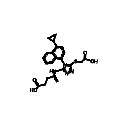 C=C(CCC(=O)O)Nc1nnc(SCC(=O)O)n1-c1ccc(C2CC2)c2ccccc12